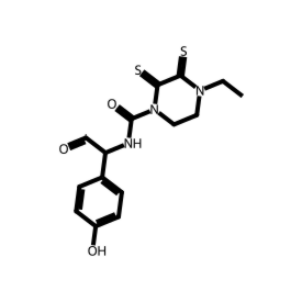 CCN1CCN(C(=O)NC([C]=O)c2ccc(O)cc2)C(=S)C1=S